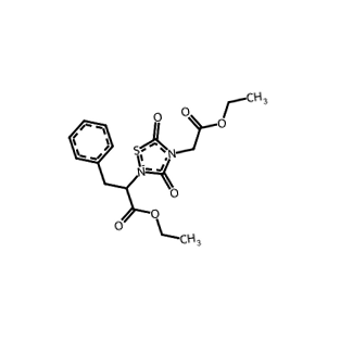 CCOC(=O)Cn1c(=O)sn(C(Cc2ccccc2)C(=O)OCC)c1=O